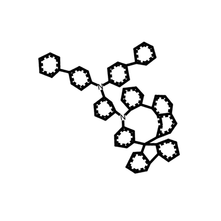 c1ccc(-c2ccc(N(c3ccc(-c4ccccc4)cc3)c3cccc(N4c5cccc(c5)C5(c6ccc7cccc(c7c6)-c6ccccc64)c4ccccc4-c4ccccc45)c3)cc2)cc1